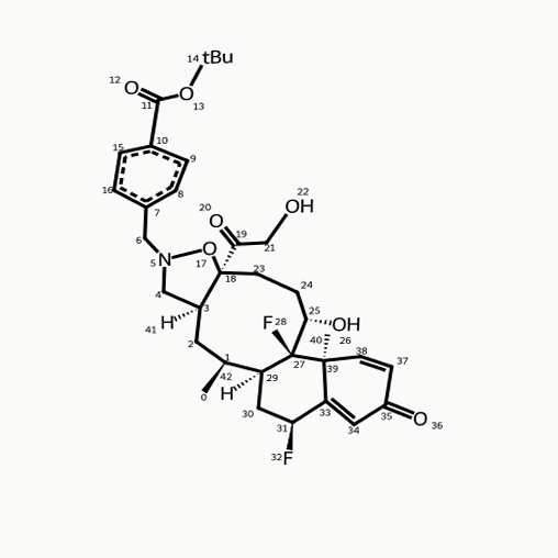 C[C@H]1C[C@H]2CN(Cc3ccc(C(=O)OC(C)(C)C)cc3)O[C@@]2(C(=O)CO)CC[C@H](O)[C@@]2(F)[C@H]1C[C@H](F)C1=CC(=O)C=C[C@@]12C